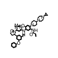 C=CC(=O)Nc1cc(Nc2cc(N3OCCC3c3cc(F)cc(Oc4ccccc4)c3)ncn2)c(OC)cc1N1CCC(N2CCN(C3CC3)CC2)CC1